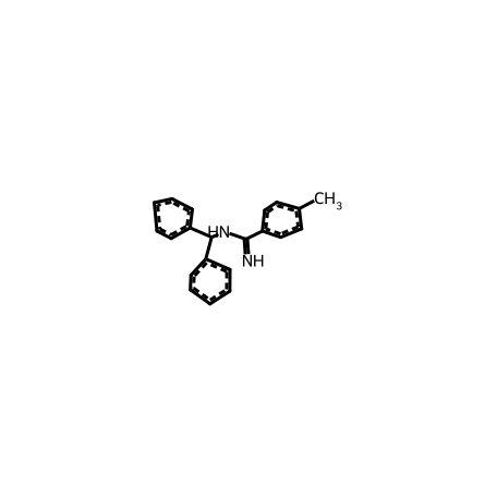 Cc1ccc(C(=N)NC(c2ccccc2)c2ccccc2)cc1